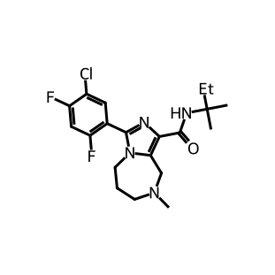 CCC(C)(C)NC(=O)c1nc(-c2cc(Cl)c(F)cc2F)n2c1CN(C)CCC2